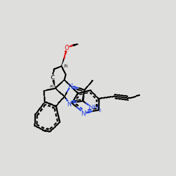 CC#Cc1cncc(C2C[C@H](OC)CC[C@@]23Cc2ccccc2C32N=C(C)C(N)=N2)c1